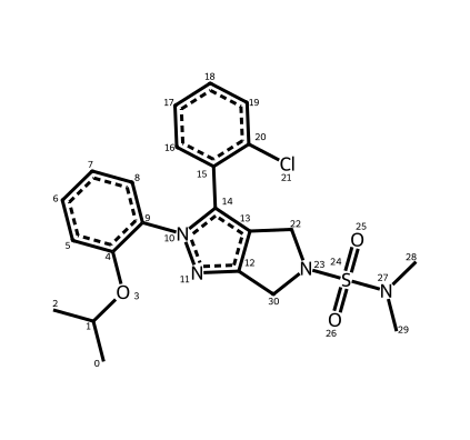 CC(C)Oc1ccccc1-n1nc2c(c1-c1ccccc1Cl)CN(S(=O)(=O)N(C)C)C2